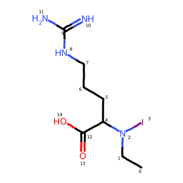 CCN(I)C(CCCNC(=N)N)C(=O)O